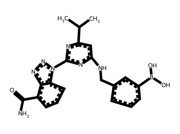 CC(C)c1cc(NCc2cccc(B(O)O)c2)nc(-n2nnc3c(C(N)=O)cccc32)n1